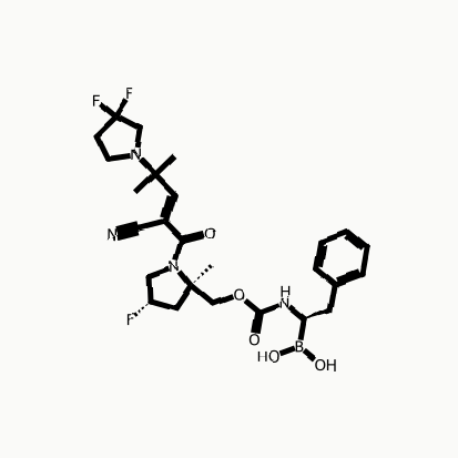 CC(C)(/C=C(\C#N)C(=O)N1C[C@@H](F)C[C@]1(C)COC(=O)N[C@@H](Cc1ccccc1)B(O)O)N1CCC(F)(F)C1